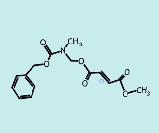 COC(=O)/C=C/C(=O)OCN(C)C(=O)OCc1ccccc1